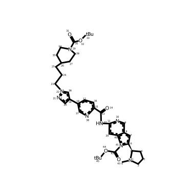 CN1CCC[C@@H]1c1cc2cnc(NC(=O)c3ccc(-c4cnn(CCCC5CCN(C(=O)OC(C)(C)C)CC5)c4)cn3)cc2n1C(=O)OC(C)(C)C